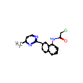 Cc1ccnc(-c2ccc3cccc(NC(=O)CCl)c3c2)n1